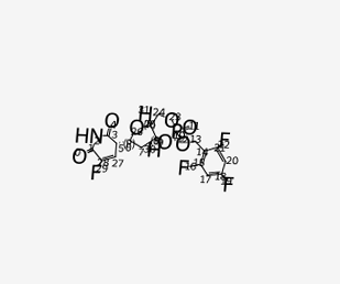 O=C1NC(=O)C([C@H]2C[C@@H]3O[P@@](=O)(OCc4c(F)cc(F)cc4F)OC[C@H]3O2)C=C1F